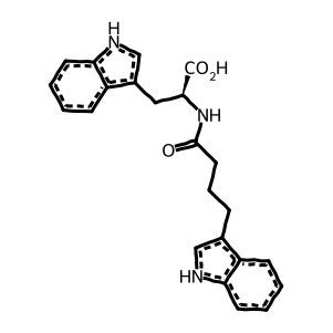 O=C(CCCc1c[nH]c2ccccc12)N[C@@H](Cc1c[nH]c2ccccc12)C(=O)O